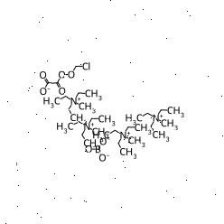 CC[N+](C)(CC)CC.CC[N+](C)(CC)CC.CC[N+](C)(CC)CC.CC[N+](C)(CC)CC.O=C([O-])C(=O)OOCCl.[O-]B([O-])[O-]